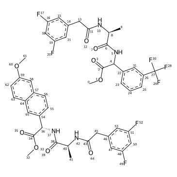 COC(=O)C(NC(=O)[C@H](C)NC(=O)Cc1cc(F)cc(F)c1)c1cccc(C(F)(F)F)c1.COC(=O)[C@@H](NC(=O)[C@H](C)NC(=O)Cc1cc(F)cc(F)c1)c1ccc2cc(OC)ccc2c1